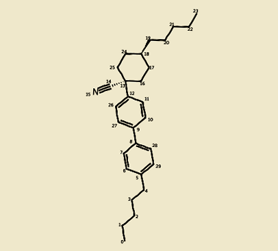 CCCCCc1ccc(-c2ccc([C@]3(C#N)CC[C@H](CCCCC)CC3)cc2)cc1